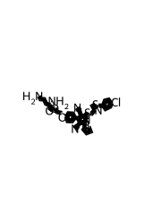 N#Cc1c(SCc2csc(-c3ccc(Cl)cc3)n2)nc(N2CCCC2)c(C#N)c1-c1ccc(OCCOC(=O)[C@@H](N)CCCN)cc1